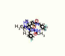 CC(=O)NNC(=O)c1c(CCc2ccc(F)cc2)nc(NC(C)C)c(C#N)c1-c1ccc(C(=O)NCc2ccc(F)c(F)c2)s1